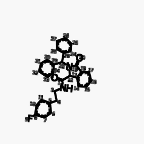 O=C(NCCc1ccc(F)cc1)C1c2ccccc2C(=O)N1C(c1ccccc1)c1ccccc1